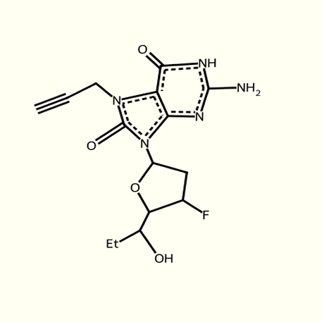 C#CCn1c(=O)n(C2CC(F)C(C(O)CC)O2)c2nc(N)[nH]c(=O)c21